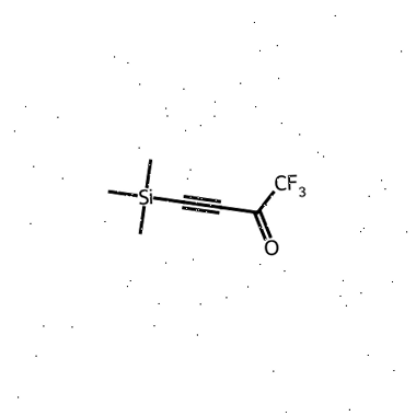 C[Si](C)(C)C#CC(=O)C(F)(F)F